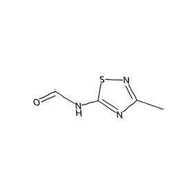 Cc1nsc(N[C]=O)n1